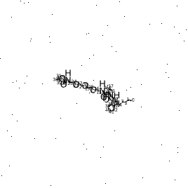 C=CCCCn1nc(C(=O)N[C@H](C(=O)NCCOCCOCCOCCNC(=O)OC(C)(C)C)C(C)(C)C)c2ccccc21